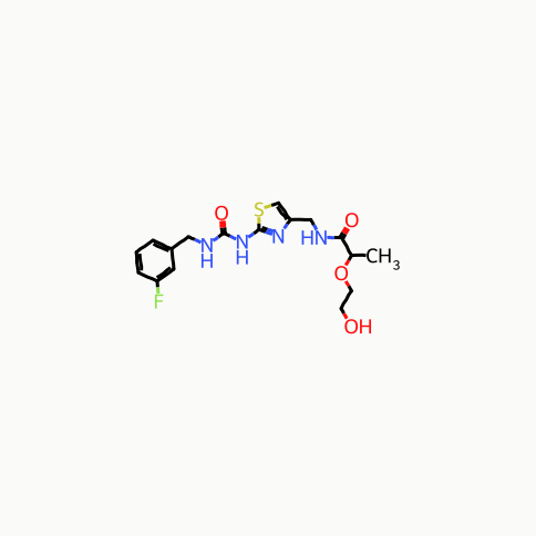 CC(OCCO)C(=O)NCc1csc(NC(=O)NCc2cccc(F)c2)n1